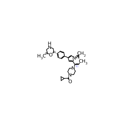 C=Nn1cc(-c2ccc([C@H]3CNC[C@@H](C)O3)cc2)cc1/C(=C\C)N1CCN(C(=O)C2CC2)CC1